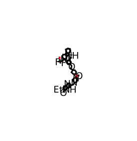 CCc1cc2ncc(CN3CCN(C(=O)C4CCC(COc5cc(F)c([C@@H]6c7[nH]c8ccccc8c7C[C@@H](C)N6CC(C)(C)F)c(F)c5)CC4)CC3)cc2[nH]c1=O